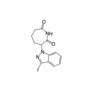 O=C1CCCC(n2nc(I)c3ccccc32)C(=O)N1